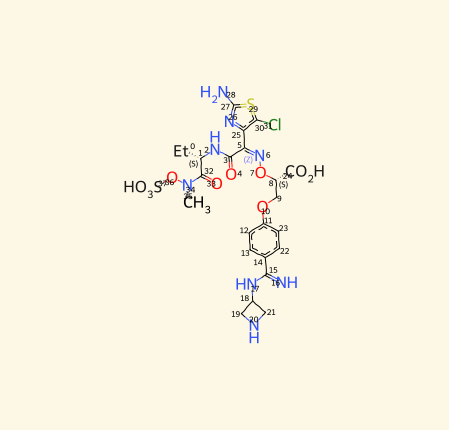 CC[C@H](NC(=O)/C(=N\O[C@@H](COc1ccc(C(=N)NC2CNC2)cc1)C(=O)O)c1nc(N)sc1Cl)C(=O)N(C)OS(=O)(=O)O